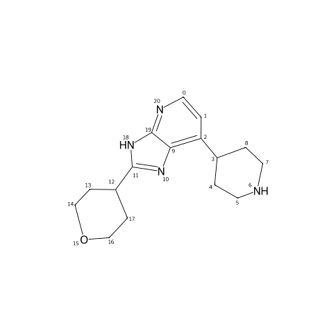 c1cc(C2CCNCC2)c2nc(C3CCOCC3)[nH]c2n1